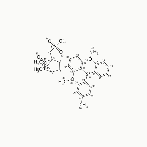 CC1(C)C2CCC1(CS(=O)(=O)[O-])C(=O)C2.COc1ccccc1[S+](c1ccc(C)cc1)c1ccccc1OC